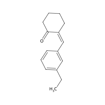 CCc1cccc(/C=C2/CCCCC2=O)c1